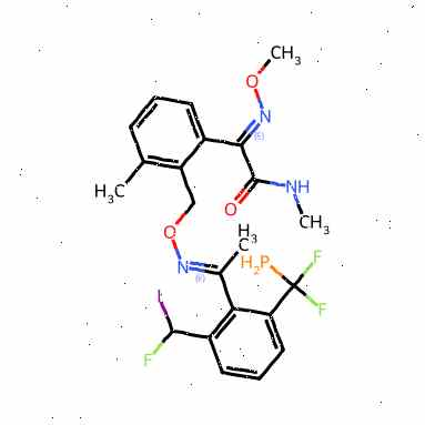 CNC(=O)/C(=N/OC)c1cccc(C)c1CO/N=C(\C)c1c(C(F)I)cccc1C(F)(F)P